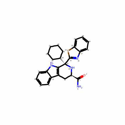 NC(=O)[C@H]1Cc2c([nH]c3ccccc23)[C@](c2nc3ccccc3s2)(C2CCCCC2)N1